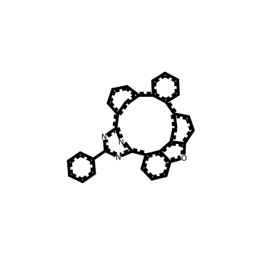 c1ccc(-c2nc3nc(n2)c2cccc4oc5ccc(cc5c42)c2ccccc2c2cccc3c2)cc1